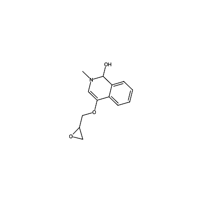 CN1C=C(OCC2CO2)c2ccccc2C1O